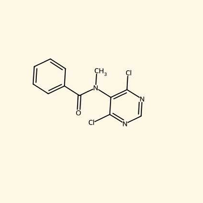 CN(C(=O)c1ccccc1)c1c(Cl)ncnc1Cl